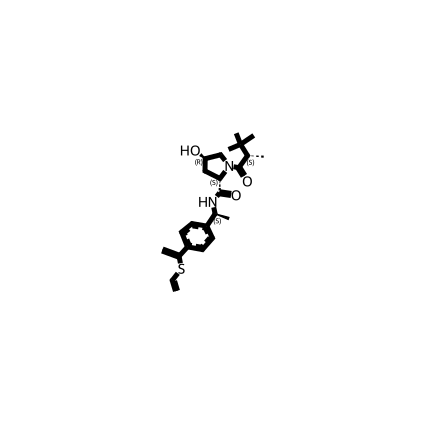 C=CSC(=C)c1ccc([C@H](C)NC(=O)[C@@H]2C[C@@H](O)CN2C(=O)[C@@H](C)C(C)(C)C)cc1